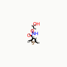 Cc1cc(C(=O)NOCCO)c(C)s1